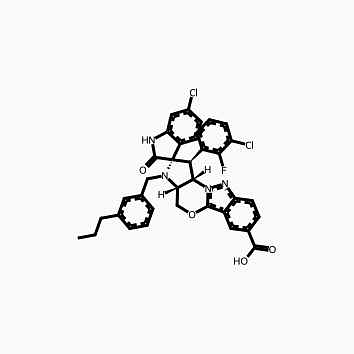 CCCc1cccc(CN2[C@H]3COc4c5cc(C(=O)O)ccc5nn4[C@H]3[C@H](c3cccc(Cl)c3F)[C@]23C(=O)Nc2cc(Cl)ccc23)c1